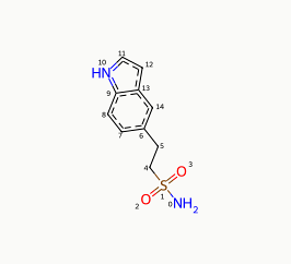 NS(=O)(=O)CCc1ccc2[nH]ccc2c1